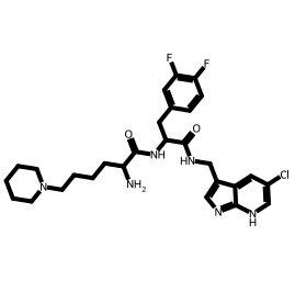 NC(CCCCN1CCCCC1)C(=O)NC(Cc1ccc(F)c(F)c1)C(=O)NCc1cnc2[nH]cc(Cl)cc1-2